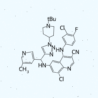 Cc1cncc(C(Nc2cc(Cl)c3ncc(C#N)c(Nc4ccc(F)c(Cl)c4)c3c2)c2cn(C3CCN(C(C)(C)C)CC3)nn2)c1